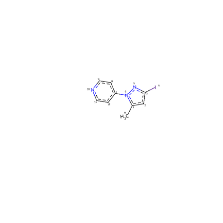 Cc1cc(I)nn1-c1ccncc1